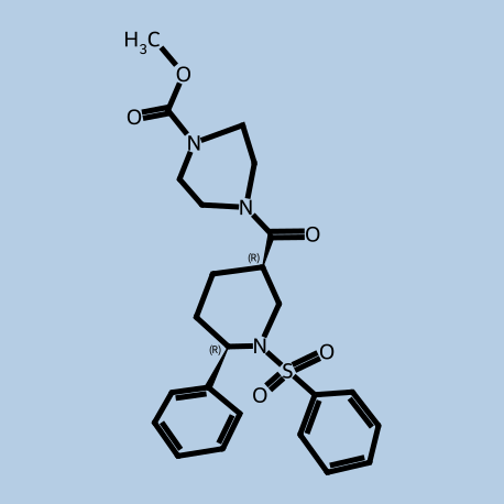 COC(=O)N1CCN(C(=O)[C@@H]2CC[C@H](c3ccccc3)N(S(=O)(=O)c3ccccc3)C2)CC1